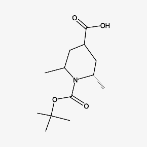 CC1CC(C(=O)O)C[C@H](C)N1C(=O)OC(C)(C)C